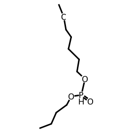 CCCCCCCO[PH](=O)OCCCC